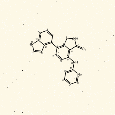 O=C1NCc2c(-c3ccnc4[nH]ccc34)ncc(Nc3ccccn3)c21